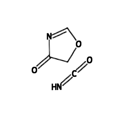 N=C=O.O=C1COC=N1